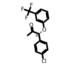 CC(=O)[C@H](Oc1cccc(C(F)(F)F)c1)c1ccc(Cl)cc1